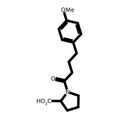 COc1ccc(CCCC(=O)N2CCCC2C(=O)O)cc1